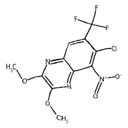 COc1nc2cc(C(F)(F)F)c(Cl)c([N+](=O)[O-])c2nc1OC